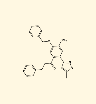 COc1cc(-c2noc(C)n2)c(C(=O)CCc2ccccc2)cc1OCc1ccccc1